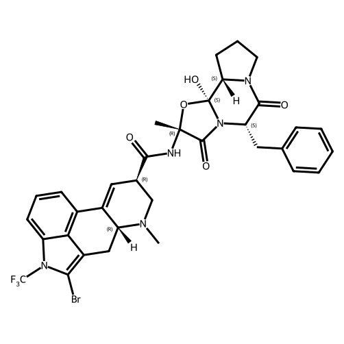 CN1C[C@H](C(=O)N[C@]2(C)O[C@@]3(O)[C@@H]4CCCN4C(=O)[C@H](Cc4ccccc4)N3C2=O)C=C2c3cccc4c3c(c(Br)n4C(F)(F)F)C[C@H]21